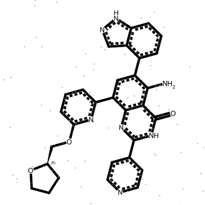 Nc1c(-c2cccc3[nH]ncc23)cc(-c2cccc(OC[C@H]3CCCO3)n2)c2nc(-c3ccncc3)[nH]c(=O)c12